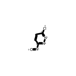 O=Nc1ccc(Cl)nn1